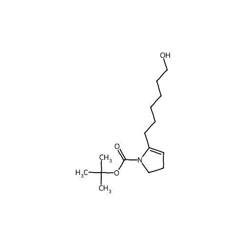 CC(C)(C)OC(=O)N1CCC=C1CCCCCCO